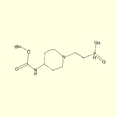 CC(C)(C)OC(=O)NC1CCN(CC[PH](=O)O)CC1